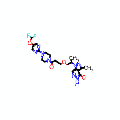 Cc1nn(C(C)COCCC(=O)N2CCN(c3ncc(OC(F)F)cn3)CC2)c2cn[nH]c(=O)c12